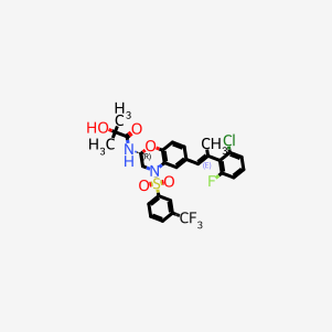 C/C(=C\c1ccc2c(c1)N(S(=O)(=O)c1cccc(C(F)(F)F)c1)C[C@H](NC(=O)C(C)(C)O)O2)c1c(F)cccc1Cl